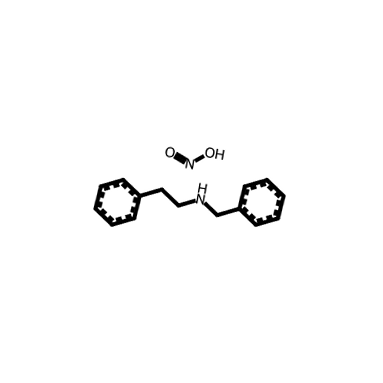 O=NO.c1ccc(CCNCc2ccccc2)cc1